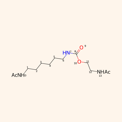 CC(=O)NCCCCCCNC(=O)OCCNC(C)=O